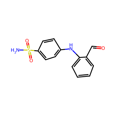 NS(=O)(=O)c1ccc(Nc2ccccc2C=O)cc1